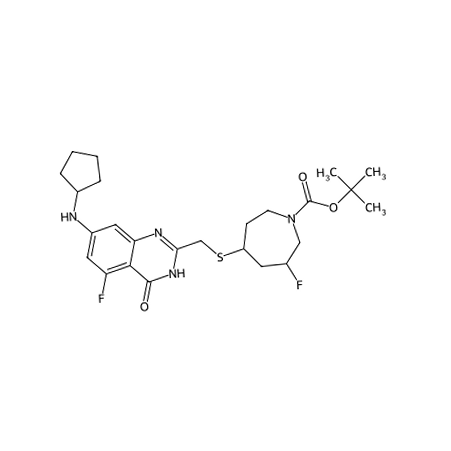 CC(C)(C)OC(=O)N1CCC(SCc2nc3cc(NC4CCCC4)cc(F)c3c(=O)[nH]2)CC(F)C1